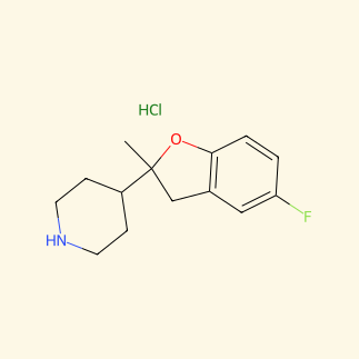 CC1(C2CCNCC2)Cc2cc(F)ccc2O1.Cl